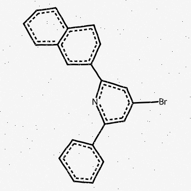 Brc1cc(-c2ccccc2)nc(-c2ccc3ccccc3c2)c1